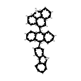 c1ccc2c(c1)oc1cc(-c3c4ccccc4c(-c4cc5cccc6oc7cccc4c7c56)c4ccccc34)ccc12